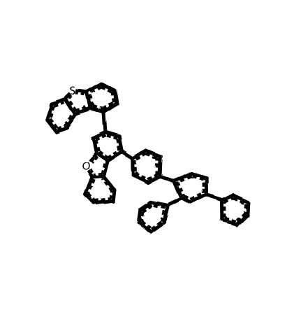 c1ccc(-c2ccc(-c3ccc(-c4cc(-c5cccc6sc7ccccc7c56)cc5oc6ccccc6c45)cc3)c(-c3ccccc3)c2)cc1